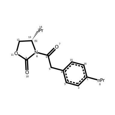 CCCc1ccc(CC(=O)N2C(=O)OC[C@@H]2C(C)C)cc1